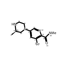 [2H]c1cc(N2CCN[C@H](C)C2)cnc1C(=O)NC